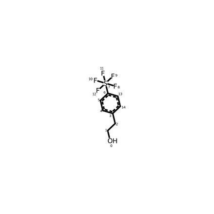 OCCc1ccc(S(F)(F)(F)(F)F)cc1